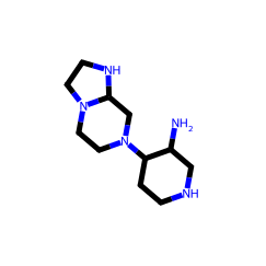 NC1CNCCC1N1CCN2CCNC2C1